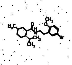 COc1ccc(Br)cc1CCNC(=O)[C@@H]1C[C@H](C)CC[C@H]1C(C)C